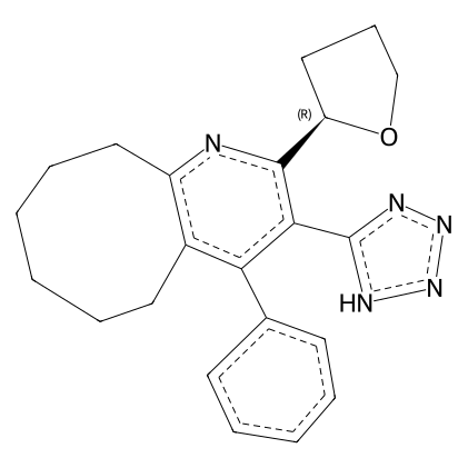 c1ccc(-c2c3c(nc([C@H]4CCCO4)c2-c2nnn[nH]2)CCCCCC3)cc1